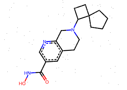 O=C(NO)c1cnc2c(c1)CCN(C1CCC13CCCC3)C2